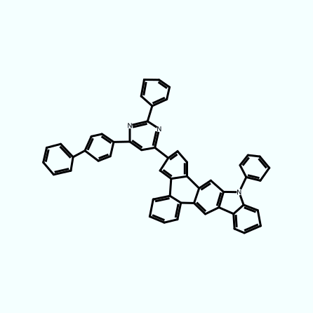 c1ccc(-c2ccc(-c3cc(-c4ccc5c(c4)c4ccccc4c4cc6c7ccccc7n(-c7ccccc7)c6cc54)nc(-c4ccccc4)n3)cc2)cc1